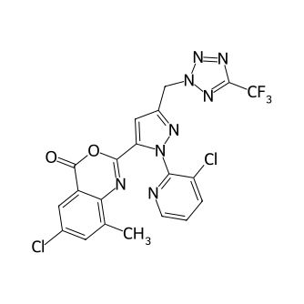 Cc1cc(Cl)cc2c(=O)oc(-c3cc(Cn4nnc(C(F)(F)F)n4)nn3-c3ncccc3Cl)nc12